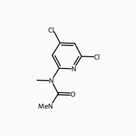 CNC(=O)N(C)c1cc(Cl)cc(Cl)n1